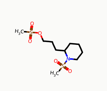 CS(=O)(=O)OCCCC1CCCCN1S(C)(=O)=O